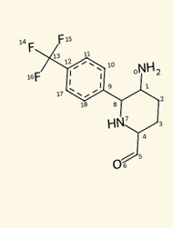 NC1CCC(C=O)NC1c1ccc(C(F)(F)F)cc1